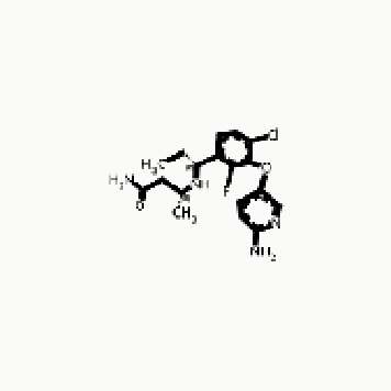 CC[C@@H](N[C@H](C)CC(N)=O)c1ccc(Cl)c(Oc2ccc(N)nc2)c1F